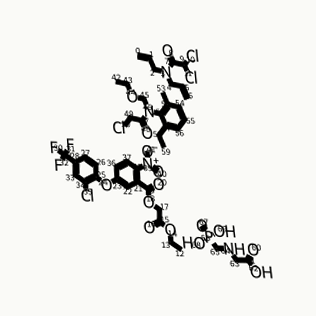 C=CCN(CC=C)C(=O)C(Cl)Cl.CCOC(=O)COC(=O)c1cc(Oc2ccc(C(F)(F)F)cc2Cl)ccc1[N+](=O)[O-].CCOCN(C(=O)CCl)c1c(C)cccc1CC.O=C(O)CNCP(=O)(O)O